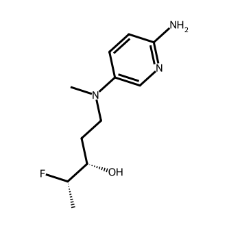 C[C@H](F)[C@@H](O)CCN(C)c1ccc(N)nc1